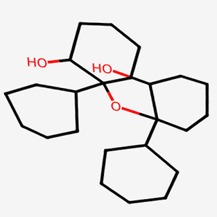 OC1CCCCC1(OC1(C2CCCCC2)CCCCC1O)C1CCCCC1